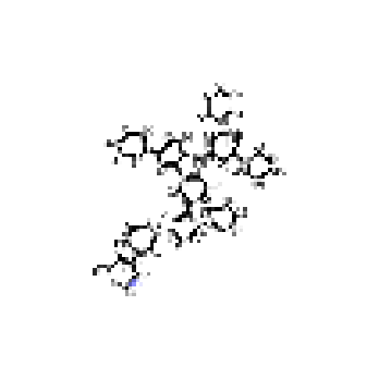 C=Cc1sc2ccc(-c3ccc4c5ccccc5c5cc6c(cc5c4c3)c3cc(-c4ccccc4)ccc3n6-c3cc(-c4ccccc4)nc(-c4ccccc4)n3)cc2c1/C=C\C